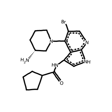 N[C@@H]1CCCN(c2c(Br)cnc3[nH]cc(NC(=O)C4CCCC4)c23)C1